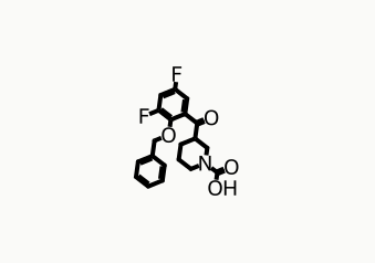 O=C(c1cc(F)cc(F)c1OCc1ccccc1)C1CCCN(C(=O)O)C1